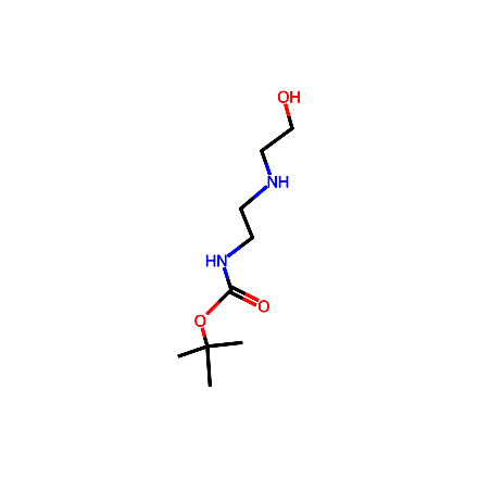 CC(C)(C)OC(=O)NCCNCCO